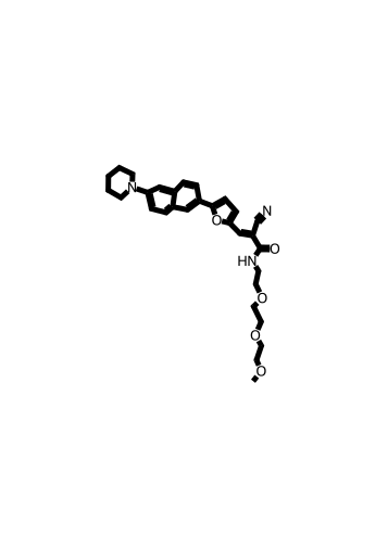 COCCOCCOCCNC(=O)/C(C#N)=C/c1ccc(-c2ccc3cc(N4CCCCC4)ccc3c2)o1